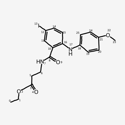 CCOC(=O)CCNC(=O)c1cc(I)ccc1Nc1ccc(OC)cc1